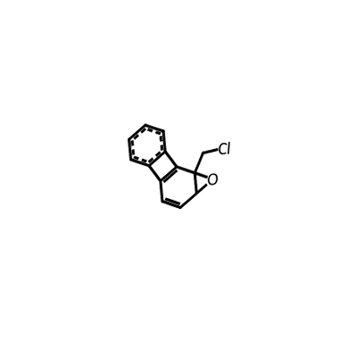 ClCC12OC1C=CC1=C2c2ccccc21